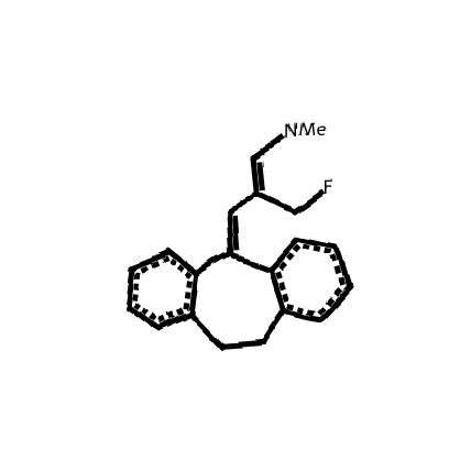 CN/C=C(/C=C1c2ccccc2CCc2ccccc21)CF